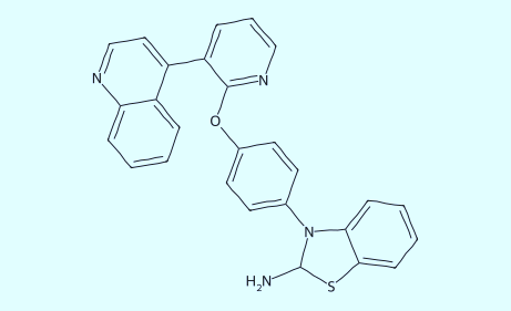 NC1Sc2ccccc2N1c1ccc(Oc2ncccc2-c2ccnc3ccccc23)cc1